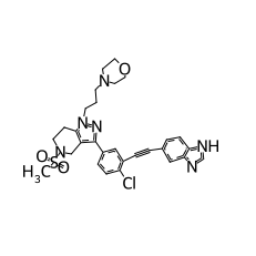 CS(=O)(=O)N1CCc2c(c(-c3ccc(Cl)c(C#Cc4ccc5[nH]cnc5c4)c3)nn2CCCN2CCOCC2)C1